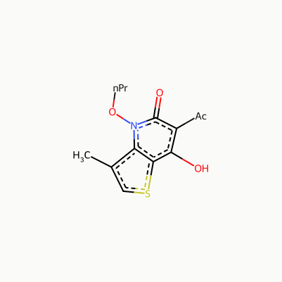 CCCOn1c(=O)c(C(C)=O)c(O)c2scc(C)c21